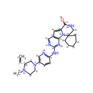 C=C[C@@H]1CN(c2ccc(Nc3ncc4cc5n(c4n3)C3(CCCCC3)CNC5=O)nc2)CCN1C